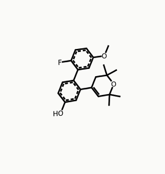 COc1ccc(F)c(-c2ccc(O)cc2C2=CC(C)(C)OC(C)(C)C2)c1